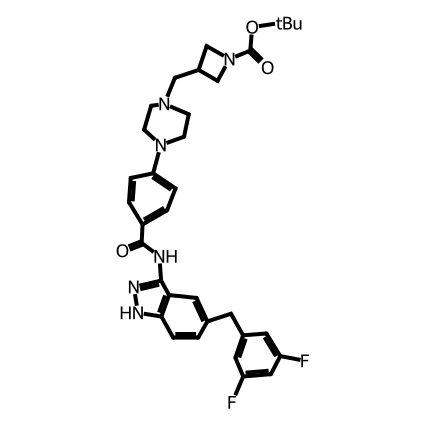 CC(C)(C)OC(=O)N1CC(CN2CCN(c3ccc(C(=O)Nc4n[nH]c5ccc(Cc6cc(F)cc(F)c6)cc45)cc3)CC2)C1